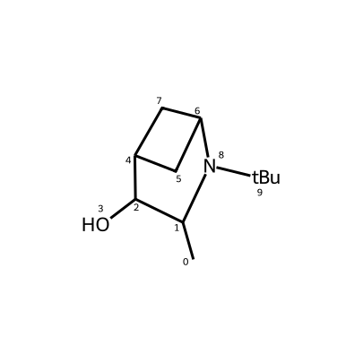 CC1C(O)C2CC(C2)N1C(C)(C)C